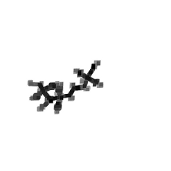 CCS(=O)(=O)N(F)S(=O)(=O)CC=CC(F)(F)F